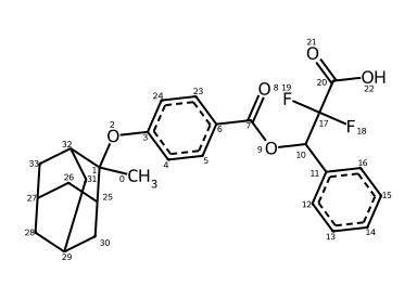 CC1(Oc2ccc(C(=O)OC(c3ccccc3)C(F)(F)C(=O)O)cc2)C2CC3CC(C2)CC1C3